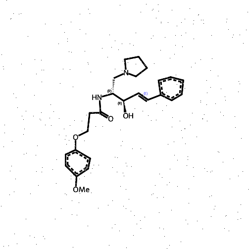 COc1ccc(OCCC(=O)N[C@H](CN2CCCC2)[C@H](O)/C=C/c2ccccc2)cc1